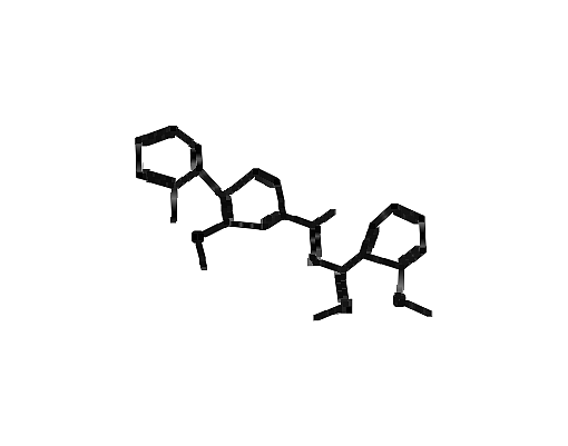 C/N=C(\N=C(/C)c1ccc(-c2ccccc2C)c(OC)c1)c1ccccc1OC